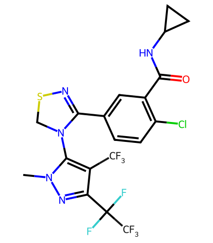 Cn1nc(C(F)(F)C(F)(F)F)c(C(F)(F)F)c1N1CSN=C1c1ccc(Cl)c(C(=O)NC2CC2)c1